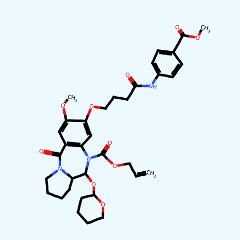 C=CCOC(=O)N1c2cc(OCCCC(=O)Nc3ccc(C(=O)OC)cc3)c(OC)cc2C(=O)N2CCCCC2C1OC1CCCCO1